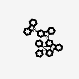 c1ccc(S(c2ccccc2)(c2ccccc2)c2cc(-n3c4ccccc4c4cc(-n5c6ccccc6c6ccccc65)ccc43)cc3c2oc2ccccc23)cc1